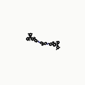 Cc1cc(C)cc(N(c2ccc3c(c2)C(C)(C)c2cc(/C=C/c4ccc5c(c4)C(C)(C)c4cc(/C=C/c6ccc7c(c6)C(C)(C)c6cc(N(c8cc(C)cc(C)c8)c8ccccn8)ccc6-7)ccc4-5)ccc2-3)c2ccccn2)c1